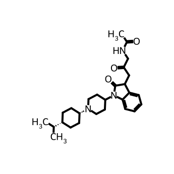 CC(=O)NCC(=O)CC1C(=O)N(C2CCN([C@H]3CC[C@@H](C(C)C)CC3)CC2)c2ccccc21